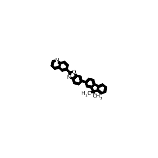 CC1(C)c2ccccc2-c2ccc(-c3ccc4nc(-c5ccc6ncccc6c5)oc4c3)cc21